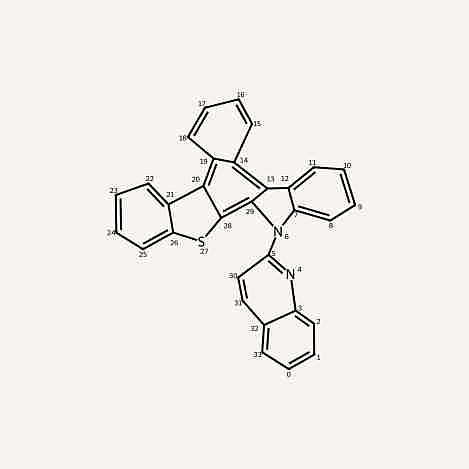 c1ccc2nc(-n3c4ccccc4c4c5ccccc5c5c6ccccc6sc5c43)ccc2c1